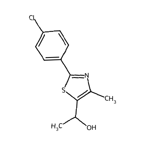 Cc1nc(-c2ccc(Cl)cc2)sc1C(C)O